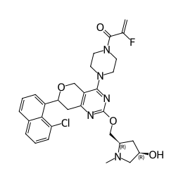 C=C(F)C(=O)N1CCN(c2nc(OC[C@H]3C[C@@H](O)CN3C)nc3c2COC(c2cccc4cccc(Cl)c24)C3)CC1